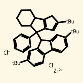 CC(C)(C)C1=CC2=C(C1)C1CCCCC1C2(c1ccccc1)C1c2cc(C(C)(C)C)ccc2-c2ccc(C(C)(C)C)cc21.[Cl-].[Cl-].[Zr+2]